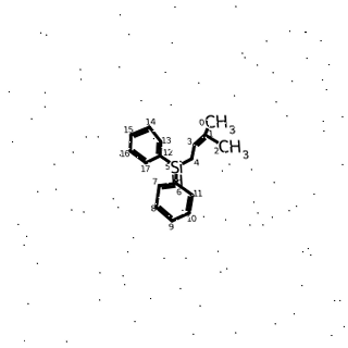 CC(C)=CC[SiH](c1ccccc1)c1ccccc1